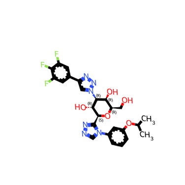 CC(C)Oc1cccc(-n2cnnc2[C@@H]2O[C@H](CO)[C@H](O)[C@H](n3cc(-c4cc(F)c(F)c(F)c4)nn3)[C@H]2O)c1